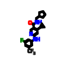 O=C(NCC1CCCC1)c1cnc(Nc2cc(F)cc(C(F)(F)F)c2)cc1C1CC1